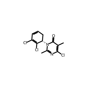 Cc1c(Cl)nc(C)n([C@H]2CC=CC(Cl)=C2Cl)c1=O